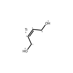 OC/C=C\CO.[Ti]